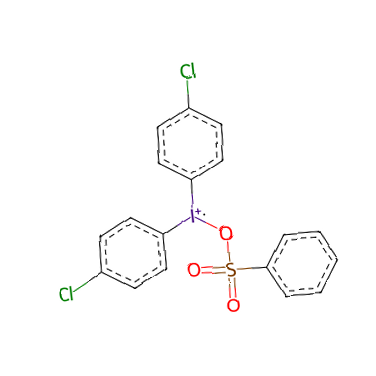 O=S(=O)(O[I+](c1ccc(Cl)cc1)c1ccc(Cl)cc1)c1ccccc1